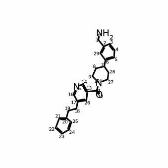 NCc1cccc(C2CCN(C(=O)c3cncc(CCc4ccccc4)c3)CC2)c1